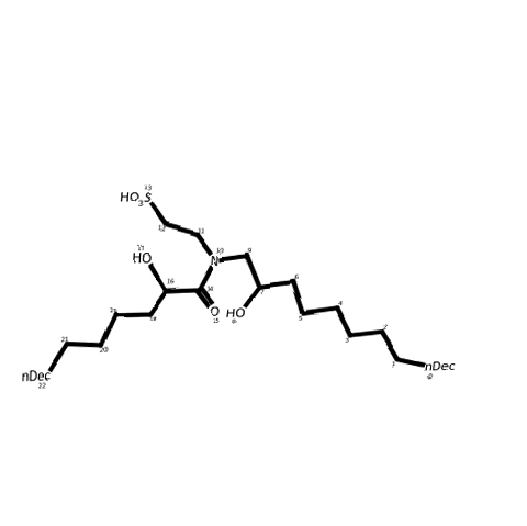 CCCCCCCCCCCCCCCCC(O)CN(CCS(=O)(=O)O)C(=O)C(O)CCCCCCCCCCCCCC